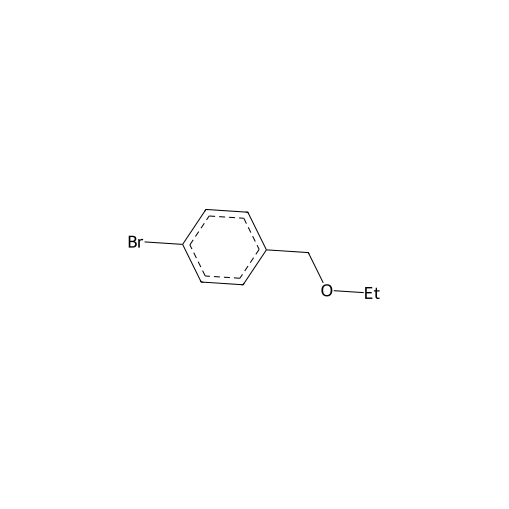 CCOCc1ccc(Br)cc1